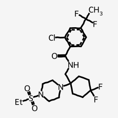 CCS(=O)(=O)N1CCN(C2(CNC(=O)c3ccc(C(C)(F)F)cc3Cl)CCC(F)(F)CC2)CC1